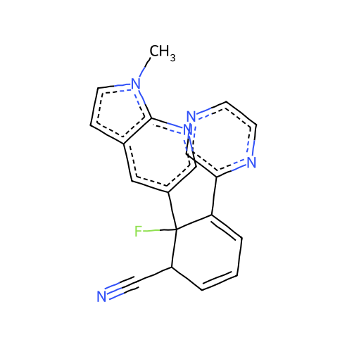 Cn1ccc2cc(C3(F)C(c4cnccn4)=CC=CC3C#N)cnc21